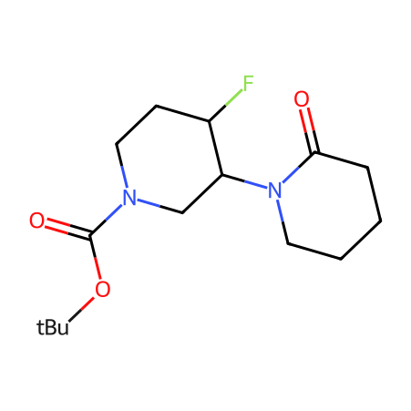 CC(C)(C)OC(=O)N1CCC(F)C(N2CCCCC2=O)C1